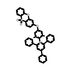 Cc1cc(Oc2ccc3c(c2)Oc2ccccc2S3(=O)=O)cc(C)c1-[n+]1c(-c2ccccc2)cc(-c2ccccc2)cc1-c1ccccc1